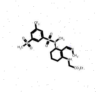 CCOC(=O)CNC1=C(/C=N\C)[C@H](N(C)S(=O)(=O)c2cc(C(F)(F)F)cc(S(C)(=O)=O)c2)CCC1